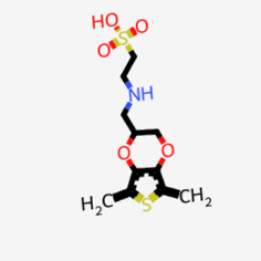 C=c1sc(=C)c2c1OCC(CNCCS(=O)(=O)O)O2